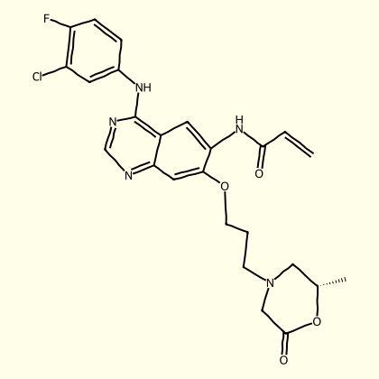 C=CC(=O)Nc1cc2c(Nc3ccc(F)c(Cl)c3)ncnc2cc1OCCCN1CC(=O)O[C@@H](C)C1